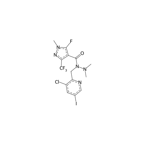 CN(C)N(Cc1ncc(I)cc1Cl)C(=O)c1c(C(F)(F)F)nn(C)c1F